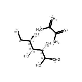 C=C(C)C(N)=O.O=C[C@@H](O)[C@@H](O)[C@H](O)[C@H](O)CO